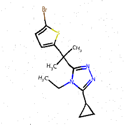 CCn1c(C2CC2)nnc1C(C)(C)c1ccc(Br)s1